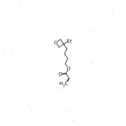 C=CC(=O)OCCCCC1(CC)COC1